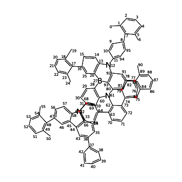 Cc1cccc(C)c1-c1ccc(N2c3ccc(-c4c(C)cccc4C)cc3B3c4ccc(-n5c6ccc(-c7ccccc7)cc6c6cc(-c7c(C)cccc7C)ccc65)cc4N(c4c(-c5ccccc5)cccc4-c4ccccc4)c4cc(-c5c(C)cccc5C)cc2c43)cc1